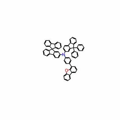 c1ccc(C2(c3ccccc3)c3ccccc3-c3ccc(N(c4ccc(-c5cccc6c5oc5ccccc56)cc4)c4ccc5c(c4)C4(c6ccccc6-c6ccccc64)c4ccccc4-5)cc32)cc1